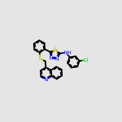 Clc1cccc(Nc2nnc(-c3ccccc3SCc3ccnc4ccccc34)s2)c1